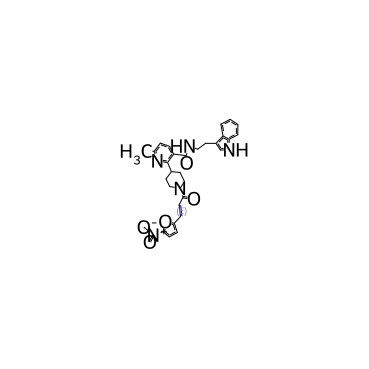 Cc1ccc(C(=O)NCCc2c[nH]c3ccccc23)c(C2CCN(C(=O)/C=C/c3ccc([N+](=O)[O-])o3)CC2)n1